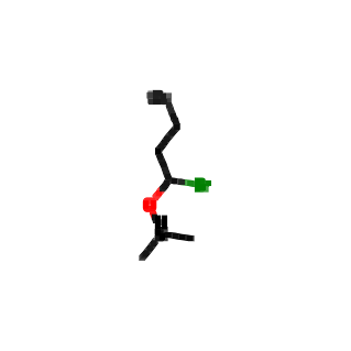 C[SiH](C)OC(Br)CCC(C)(C)C